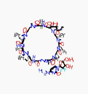 C/C=C/C[C@@H](C)[C@@H](O)[C@H]1C(=O)N[C@@H](CC)C(=O)N(C)CC(=O)N(C)[C@@H](CC(C)C)C(=O)N[C@@H](C(C)C)C(=O)N(C)[C@@H](CC(C)C)C(=O)N[C@@H](C)C(=O)N[C@H](C)C(=O)N(C)[C@@H](CC(C)C)C(=O)N(C)[C@@H](CC(C)C)C(=O)N(C)[C@@H](C(C)C)C(=O)N1C.Nc1ccn([C@@H]2O[C@H](CO)[C@@H](O)C2(F)F)c(=O)n1